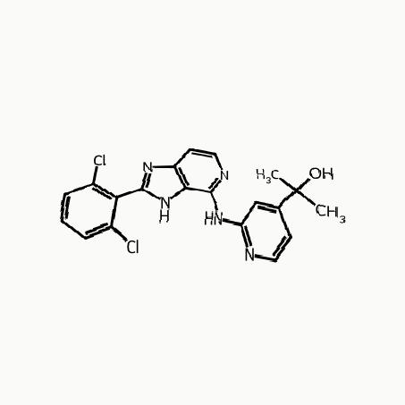 CC(C)(O)c1ccnc(Nc2nccc3nc(-c4c(Cl)cccc4Cl)[nH]c23)c1